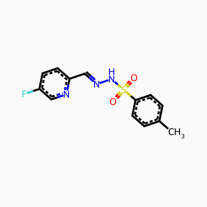 Cc1ccc(S(=O)(=O)NN=Cc2ccc(F)cn2)cc1